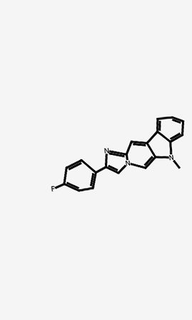 Cn1c2ccccc2c2cc3nc(-c4ccc(F)cc4)cn3cc21